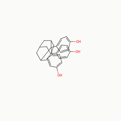 Oc1ccc(C23CC4CC(C2)C(c2ccc(O)cc2)(c2ccc(O)cc2)C(C4)C3)cc1